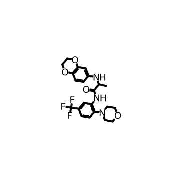 CC(Nc1ccc2c(c1)OCCO2)C(=O)Nc1cc(C(F)(F)F)ccc1N1CCOCC1